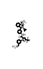 CS(=O)(=O)c1ccccc1C(NC1CC1)c1cccc(NC(=O)c2cc(C(F)(F)F)nn2-c2cccc(CN)c2)c1